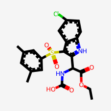 CCOC(=O)C(NC(=O)O)c1[nH]c2ccc(Cl)cc2c1S(=O)(=O)c1cc(C)cc(C)c1